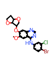 COc1cc2c(Nc3ccc(Br)c(Cl)c3)ncnc2cc1OC1COC2CCOC21